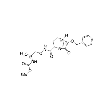 C[C@H](CONC(=O)C1CC[C@@H]2CN1C(=O)N2OCc1ccccc1)NC(=O)OC(C)(C)C